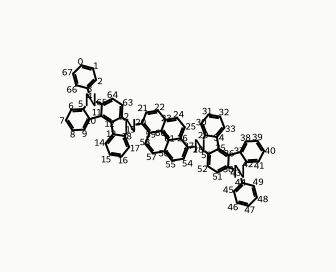 c1ccc(-n2c3ccccc3c3c4c5ccccc5n(-c5ccc6ccc7c(-n8c9ccccc9c9c%10c%11ccccc%11n(-c%11ccccc%11)c%10ccc98)ccc8ccc5c6c87)c4ccc32)cc1